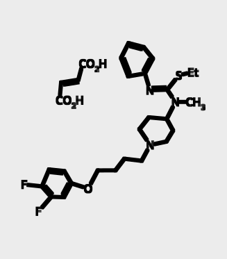 CCS/C(=N\c1ccccc1)N(C)C1CCN(CCCCOc2ccc(F)c(F)c2)CC1.O=C(O)/C=C/C(=O)O